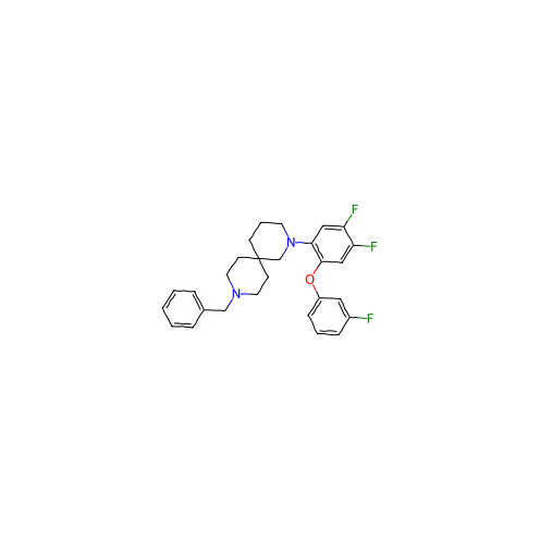 Fc1cccc(Oc2cc(F)c(F)cc2N2CCCC3(CCN(Cc4ccccc4)CC3)C2)c1